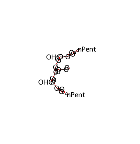 CCCCC[C@H]1CC[C@H](c2ccc(OC(=O)c3ccc(OCCCCCCOC(C=O)CC(=O)OCCCCCCOc4ccc(OCCCCCCOC(=O)CC(C=O)OCCCCCCOc5ccc(C(=O)Oc6ccc([C@H]7CC[C@H](CCCCC)CC7)cc6)cc5)c(C(=O)OCCCCCCOC5CCCCO5)c4)cc3)cc2)CC1